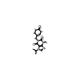 CC(C)n1cnc2c1c(=O)n(CC1CCC(=O)CC1)c(=O)n2C